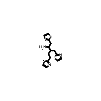 NC(Cc1nccs1)C(CCc1nccs1)Cc1nccs1